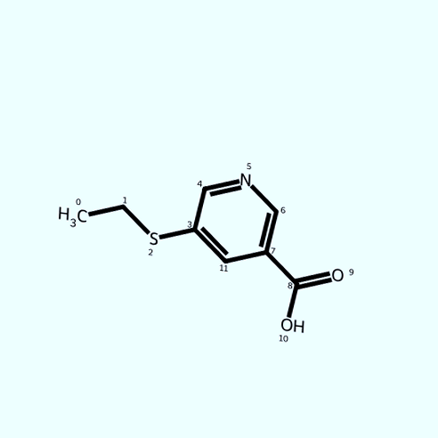 CCSc1cncc(C(=O)O)c1